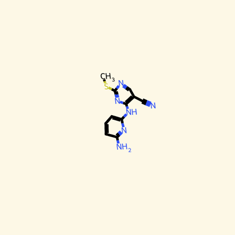 CSc1ncc(C#N)c(Nc2cccc(N)n2)n1